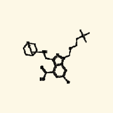 C[Si](C)(C)CCOCn1nc(CNC2CN3CCC2CC3)c2c(C(=O)O)cc(Br)cc21